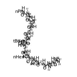 CCCCCCn1cc(NC(=O)c2nc(NC(=O)CCNC(=O)c3nc(NC(=O)c4nccn4C)cn3C)cn2C)nc1C(=O)NCC[C@@H](NC(=O)OC(C)(C)C)C(=O)Nc1cc(C(=O)NCCC(=O)Nc2cc(C(=O)Nc3cc(C(=O)NCCC)n(C)c3)n(C)c2)n(C)c1